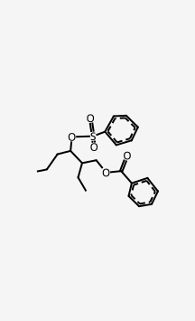 CCCC(OS(=O)(=O)c1ccccc1)C(CC)COC(=O)c1ccccc1